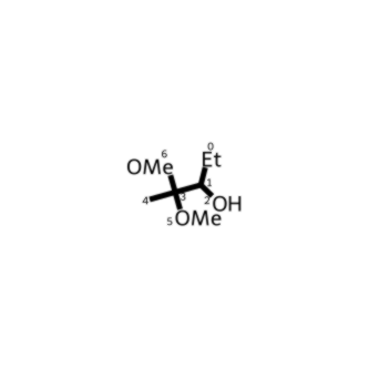 [CH2]CC(O)C(C)(OC)OC